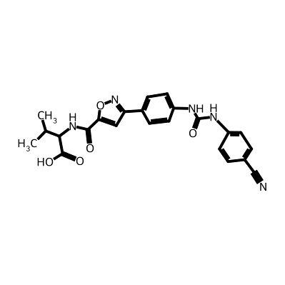 CC(C)C(NC(=O)c1cc(-c2ccc(NC(=O)Nc3ccc(C#N)cc3)cc2)no1)C(=O)O